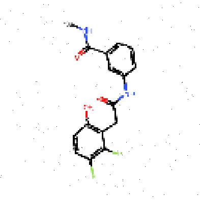 CC(C)(C)NC(=O)c1cccc(NC(=O)Cc2c(O)ccc(F)c2F)c1